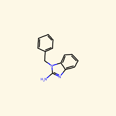 Nc1nc2ccccc2n1Cc1cc[c]cc1